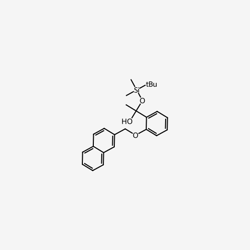 CC(O)(O[Si](C)(C)C(C)(C)C)c1ccccc1OCc1ccc2ccccc2c1